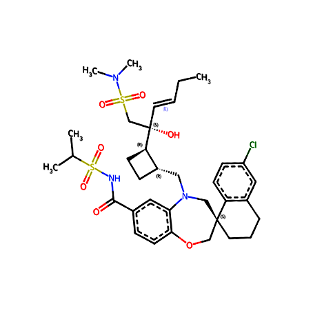 CC/C=C/[C@](O)(CS(=O)(=O)N(C)C)[C@@H]1CC[C@H]1CN1C[C@@]2(CCCc3cc(Cl)ccc32)COc2ccc(C(=O)NS(=O)(=O)C(C)C)cc21